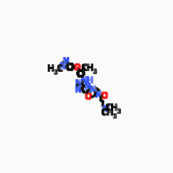 Cc1cc(Nc2ncnc3cc4c(nc23)N2CCN(C(=O)/C=C/CN(C)C)C(CO4)C2)ccc1Oc1ccc2c(c1)ncn2C